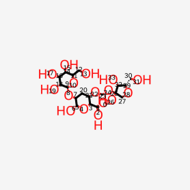 O=C(O)C1O[C@@H](O)C(O[C@@H]2OC(CO)[C@H](O)C(O)C2O)C[C@@H]1OCOC1(O)CO[C@@H](CO)C1O